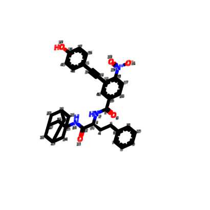 O=C(N[C@@H](CCc1ccccc1)C(=O)NC12CC3CC(CC(C3)C1)C2)c1ccc([N+](=O)[O-])c(C#Cc2ccc(O)cc2)c1